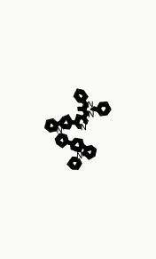 Cc1c(-c2ccccc2)nc(-c2ccccc2)nc1C1C=C(c2ccc3c4ccccc4n(-c4cccc(-c5ccc6c7ccccc7n(-c7ccccc7)c6c5)c4)c3c2)C=NC1